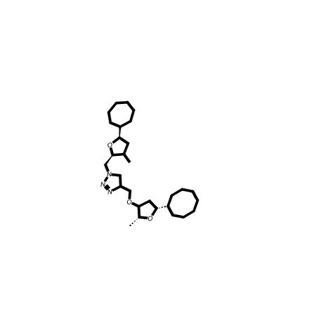 CC1C[C@H](C2CCCCCC2)O[C@@H]1CN1CC(COC2C[C@H](C3CCCCCCC3)O[C@@H]2C)N=N1